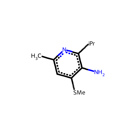 CSc1cc(C)nc(C(C)C)c1N